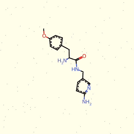 COc1ccc(C[C@H](N)C(=O)NCc2ccc(N)nc2)cc1